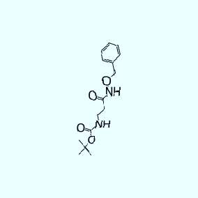 CC(C)(C)OC(=O)NCCC(=O)NOCc1ccccc1